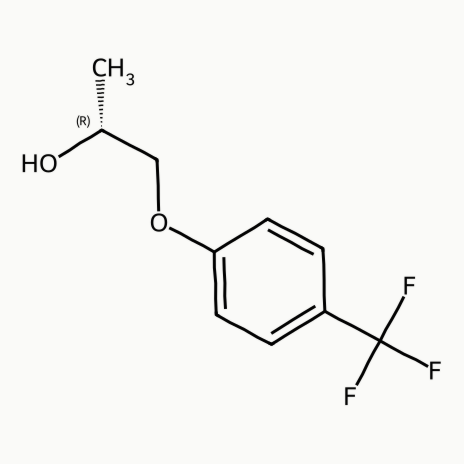 C[C@@H](O)COc1ccc(C(F)(F)F)cc1